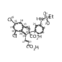 CCS(=O)(=O)Nc1cccc(C2(C(=O)O)N=c3cc(Cl)cc(Cl)c3=C2C=CC(=O)O)c1